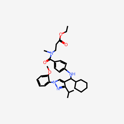 CCOC(=O)CCN(C)C(=O)c1ccc(NC(c2cn(-c3ccccc3OC)nc2C(C)C)C2CCCCC2)cc1